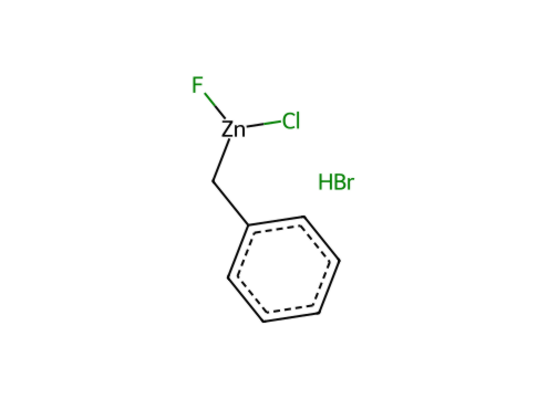 Br.[F][Zn]([Cl])[CH2]c1ccccc1